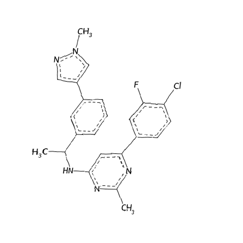 Cc1nc(NC(C)c2cccc(-c3cnn(C)c3)c2)cc(-c2ccc(Cl)c(F)c2)n1